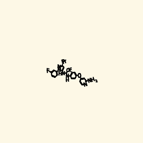 CC(C)c1cc(NC(=O)Nc2ccc(Oc3ccnc(N)c3)cc2F)n(-c2cccc(F)c2)n1